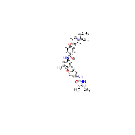 CCC(CC)NC(=O)Nc1ccc(Oc2ccc(NC(=O)c3ccc(OC4CCN(C(C)CC)CC4)cc3)cc2C)cc1